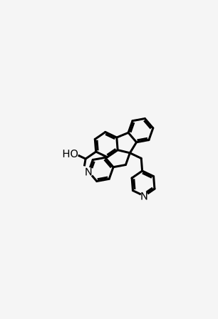 CC(O)c1ccc2c(c1)C(Cc1ccncc1)(Cc1ccncc1)c1ccccc1-2